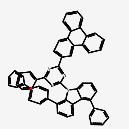 c1ccc(-c2ccc(-c3cccc4c5c(-c6ccccc6)cccc5n(-c5nc(-c6ccccc6)nc(-c6ccc7c8ccccc8c8ccccc8c7c6)n5)c34)cc2)cc1